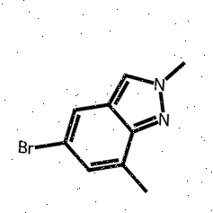 Cc1cc(Br)cc2cn(C)nc12